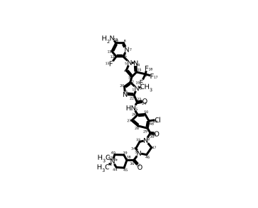 Cn1c(-c2cn(-c3ncc(N)cc3F)nc2C(F)(F)F)cnc1C(=O)Nc1ccc(C(=O)N2CCN(C(=O)C3CC[N+](C)(C)CC3)CC2)c(Cl)c1